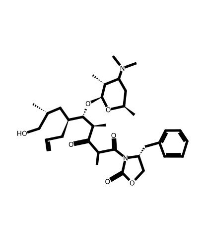 C=CC[C@@H](C[C@@H](C)CO)[C@H](O[C@@H]1O[C@H](C)CC(N(C)C)[C@H]1C)[C@@H](C)C(=O)C(C)C(=O)N1C(=O)OC[C@H]1Cc1ccccc1